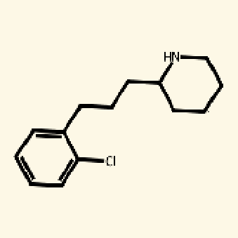 Clc1ccccc1CCCC1C[CH]CCN1